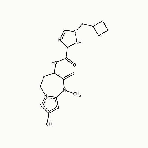 Cc1cc2n(n1)CCC(NC(=O)C1N=CN(CC3CCC3)N1)C(=O)N2C